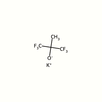 CC([O-])(C(F)(F)F)C(F)(F)F.[K+]